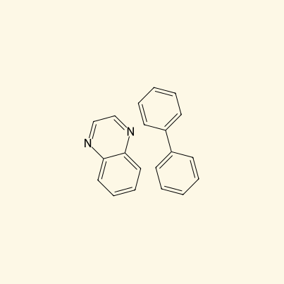 c1ccc(-c2ccccc2)cc1.c1ccc2nccnc2c1